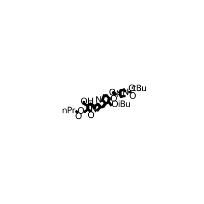 CCCC(=O)OCc1c(CO)cc2n(c1=O)Cc1cc3c(COCC(C)C)c(OC(=O)N4CCN(C(=O)OC(C)(C)C)CC4)ccc3nc1-2